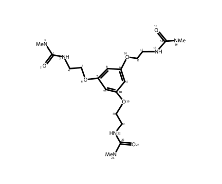 CNC(=O)NCCOc1cc(OCCNC(=O)NC)cc(OCCNC(=O)NC)c1